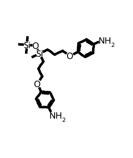 C[Si](C)(C)O[Si](C)(CCCOc1ccc(N)cc1)CCCOc1ccc(N)cc1